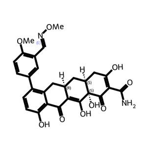 CO/N=C/c1cc(-c2ccc(O)c3c2C[C@H]2C[C@H]4CC(O)=C(C(N)=O)C(=O)[C@@]4(O)C(O)=C2C3=O)ccc1OC